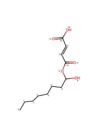 CCCCCCCC(O)OC(=O)C=CC(=O)O